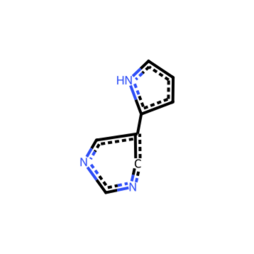 c1c[nH]c(-c2cncnc2)c1